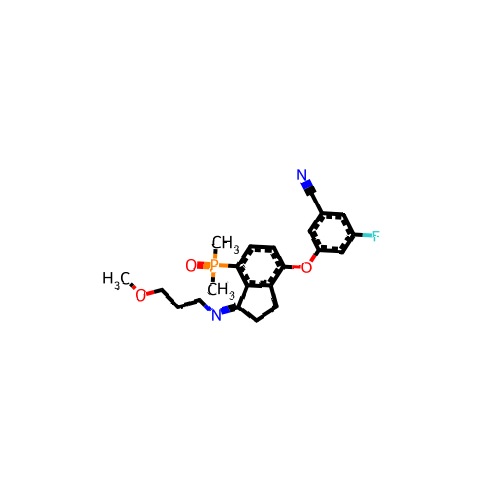 COCCC/N=C1/CCc2c(Oc3cc(F)cc(C#N)c3)ccc(P(C)(C)=O)c21